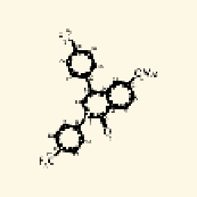 COc1ccc2c(=O)n(-c3ccc(C(F)(F)F)cc3)cc(-c3ccc(C(F)(F)F)cc3)c2c1